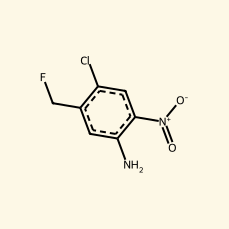 Nc1cc(CF)c(Cl)cc1[N+](=O)[O-]